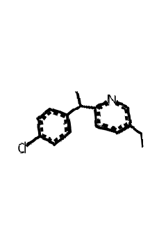 CCc1ccc(C(C)c2ccc(Cl)cc2)nc1